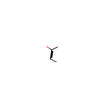 CC/C=C(\C)[O]